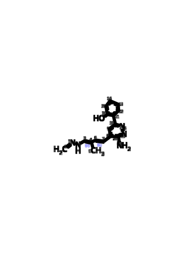 C=NN/C=C(C)/C=C/c1cc(-c2ccccc2O)nnc1N